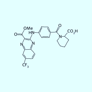 COC(=O)c1nc2cc(C(F)(F)F)ccc2nc1Nc1ccc(C(=O)N2CCCCC2C(=O)O)cc1